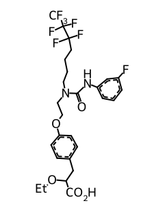 CCOC(Cc1ccc(OCCN(CCCCC(F)(F)C(F)(F)C(F)(F)F)C(=O)Nc2cccc(F)c2)cc1)C(=O)O